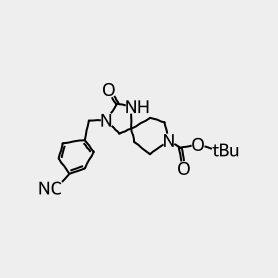 CC(C)(C)OC(=O)N1CCC2(CC1)CN(Cc1ccc(C#N)cc1)C(=O)N2